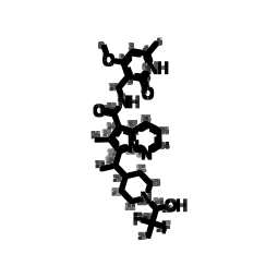 COc1cc(C)[nH]c(=O)c1CNC(=O)c1c(C)c(C(C)C2CCN(C(O)C(C)(F)F)CC2)n2ncccc12